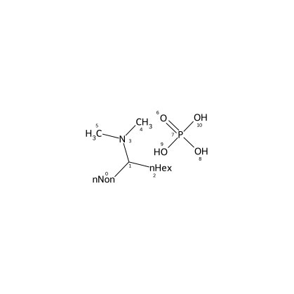 CCCCCCCCCC(CCCCCC)N(C)C.O=P(O)(O)O